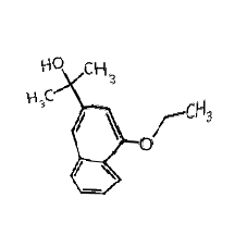 CCOc1cc(C(C)(C)O)cc2ccccc12